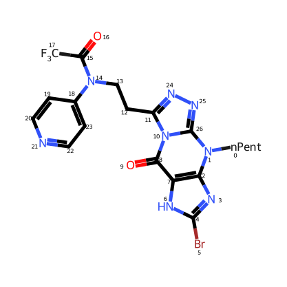 CCCCCn1c2nc(Br)[nH]c2c(=O)n2c(CCN(C(=O)C(F)(F)F)c3ccncc3)nnc12